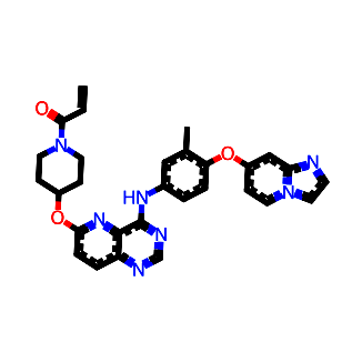 C=CC(=O)N1CCC(Oc2ccc3ncnc(Nc4ccc(Oc5ccn6ccnc6c5)c(C)c4)c3n2)CC1